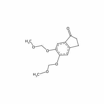 COCOc1cc2c(cc1OCOC)C(=O)CC2